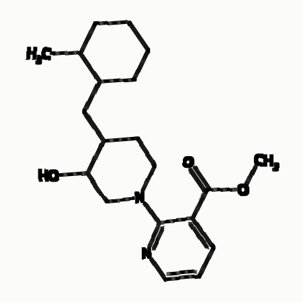 COC(=O)c1cccnc1N1CCC(CC2CCCCC2C)C(O)C1